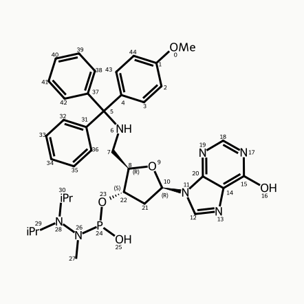 COc1ccc(C(NC[C@H]2O[C@@H](n3cnc4c(O)ncnc43)C[C@@H]2OP(O)N(C)N(C(C)C)C(C)C)(c2ccccc2)c2ccccc2)cc1